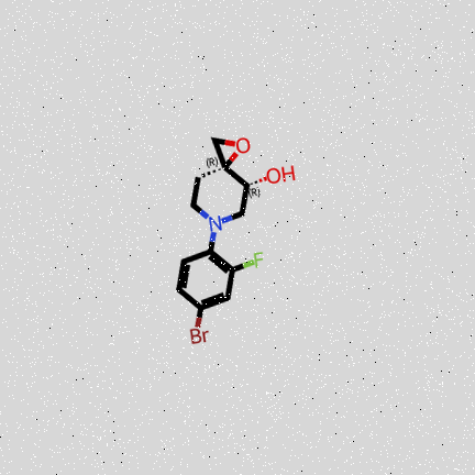 O[C@@H]1CN(c2ccc(Br)cc2F)CC[C@@]12CO2